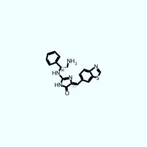 NC[C@H](NC1=N/C(=C\c2ccc3ncsc3c2)C(=O)N1)c1ccccc1